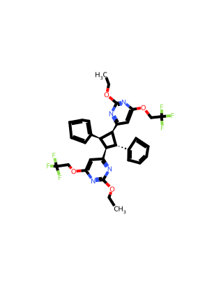 CCOc1nc(OCC(F)(F)F)cc([C@H]2[C@H](c3ccccc3)[C@@H](c3cc(OCC(F)(F)F)nc(OCC)n3)[C@H]2c2ccccc2)n1